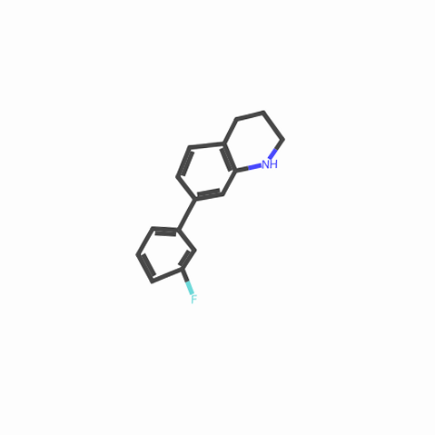 Fc1cccc(-c2ccc3c(c2)NCCC3)c1